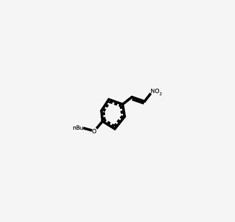 CCCCOc1ccc(C=C[N+](=O)[O-])cc1